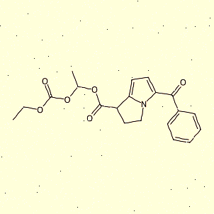 CCOC(=O)OC(C)OC(=O)C1CCn2c(C(=O)c3ccccc3)ccc21